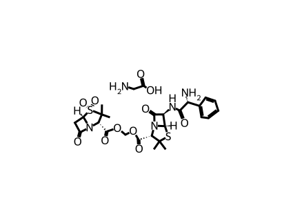 CC1(C)S[C@@H]2[C@H](NC(=O)[C@H](N)c3ccccc3)C(=O)N2[C@H]1C(=O)OCOC(=O)[C@@H]1N2C(=O)C[C@H]2S(=O)(=O)C1(C)C.NCC(=O)O